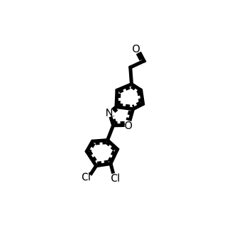 O=CCc1ccc2oc(-c3ccc(Cl)c(Cl)c3)nc2c1